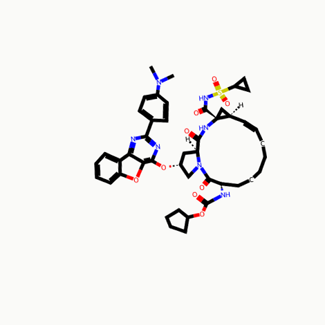 CN(C)c1ccc(-c2nc(O[C@@H]3C[C@H]4C(=O)N[C@]5(C(=O)NS(=O)(=O)C6CC6)C[C@H]5/C=C\CCCCC[C@H](NC(=O)OC5CCCC5)C(=O)N4C3)c3oc4ccccc4c3n2)cc1